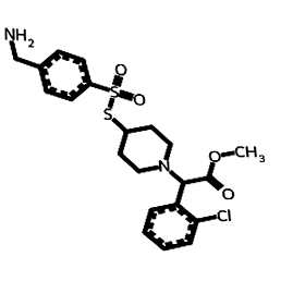 COC(=O)C(c1ccccc1Cl)N1CCC(SS(=O)(=O)c2ccc(CN)cc2)CC1